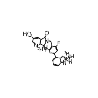 [2H]C1([2H])c2ncc(O)cc2C(=O)N1Cc1c(F)cc(-c2cccc3nn(C([2H])([2H])[2H])cc23)cc1F